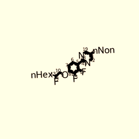 CCCCCCCCCc1cnc(-c2ccc(OC[C@@H](F)CCCCCC)c(F)c2F)nc1